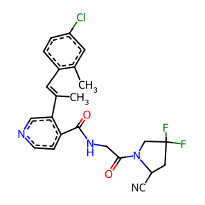 CC(=Cc1ccc(Cl)cc1C)c1cnccc1C(=O)NCC(=O)N1CC(F)(F)CC1C#N